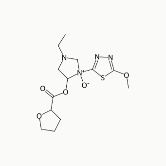 CCN1CC(OC(=O)C2CCCO2)[N+]([O-])(c2nnc(OC)s2)C1